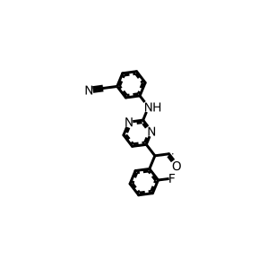 N#Cc1cccc(Nc2nccc(C([C]=O)c3ccccc3F)n2)c1